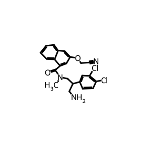 CN(CC(CN)c1ccc(Cl)c(Cl)c1)C(=O)c1cc(OCC#N)cc2ccccc12